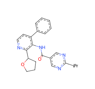 CC(C)c1ncc(C(=O)Nc2c(-c3ccccc3)ccnc2C2CCCO2)cn1